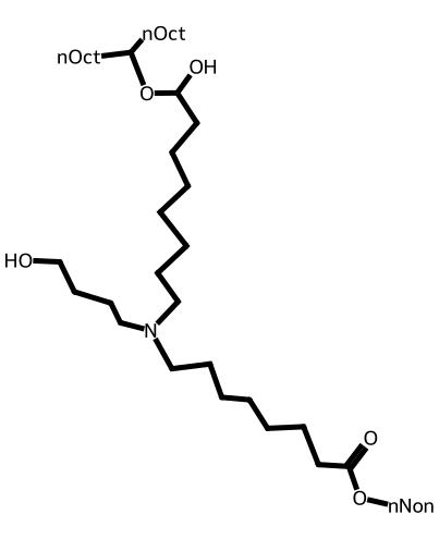 CCCCCCCCCOC(=O)CCCCCCCN(CCCCO)CCCCCCCC(O)OC(CCCCCCCC)CCCCCCCC